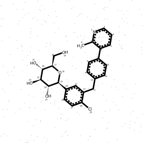 Cc1ncccc1-c1ccc(Cc2cc([C@@H]3O[C@H](CO)[C@@H](O)[C@H](O)[C@H]3O)ccc2Cl)cc1